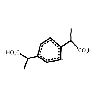 CC(C(=O)O)c1[c]cc(C(C)C(=O)O)cc1